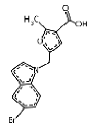 Cc1oc(Cn2ccc3cc(Br)ccc32)cc1C(=O)O